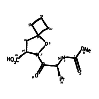 COC(=O)N[C@H](C(=O)N1OC2(CCC2)CC1C(=O)O)C(C)C